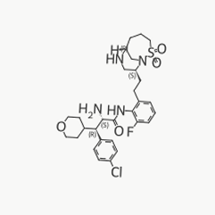 N[C@H](C(=O)Nc1c(F)cccc1CC[C@H]1CN[C@@H]2CCCS(=O)(=O)N1C2)[C@@H](c1ccc(Cl)cc1)C1CCOCC1